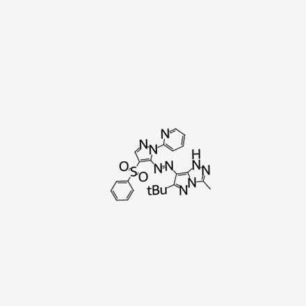 Cc1n[nH]c2c(/N=N/c3c(S(=O)(=O)c4ccccc4)cnn3-c3ccccn3)c(C(C)(C)C)nn12